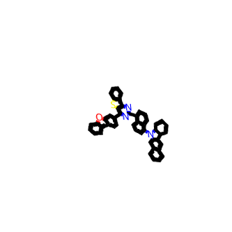 C1=CC2c3cc4ccccc4cc3N(c3cccc4c(-c5nc(-c6ccc7c(c6)oc6ccccc67)c6sc7ccccc7c6n5)cccc34)C2C=C1